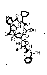 CCCC(NC(=O)[C@@H]1CC2(CN1C(=O)[C@@H](NC(=O)[C@@H](NC(=O)c1cnccn1)C1CCCCC1)C(C)(C)C)N(CC)C(=O)C1CCCN12)C(=O)C(=O)N[C@@H](C)c1ccccc1